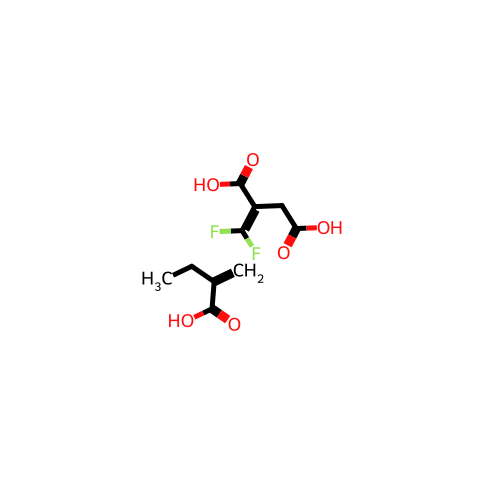 C=C(CC)C(=O)O.O=C(O)CC(C(=O)O)=C(F)F